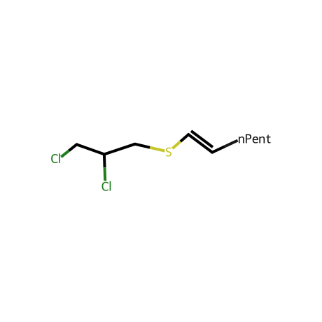 CCCCC/C=C/SCC(Cl)CCl